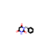 O=C1CC(=O)N([Se]c2ccccc2)C(=O)N1